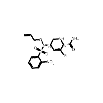 C=CCON([C@@H]1C=C(C(C)C)[C@@H](C(N)=O)NC1)S(=O)(=O)c1ccccc1[N+](=O)[O-]